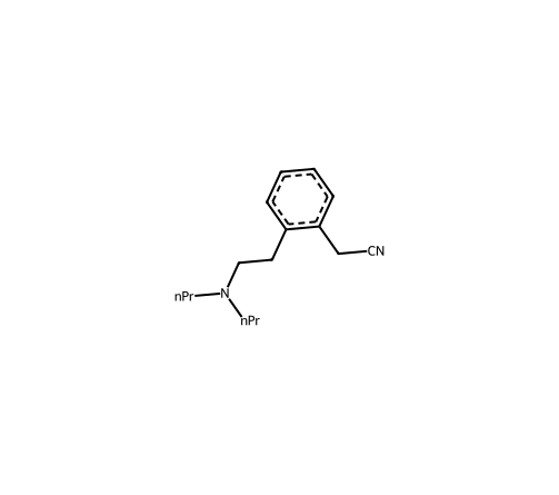 CCCN(CCC)CCc1ccccc1CC#N